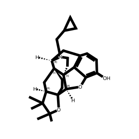 CC1(C)OC23CC[C@@]4(C[C@@H]2C1(C)C)[C@H]1Cc2ccc(O)c5c2[C@@]4(CCN1CC1CC1)[C@H]3O5